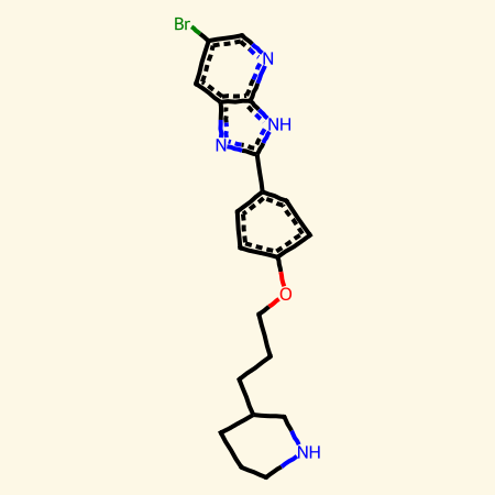 Brc1cnc2[nH]c(-c3ccc(OCCCC4CCCNC4)cc3)nc2c1